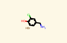 Br.NCc1ccc(O)c(Cl)c1